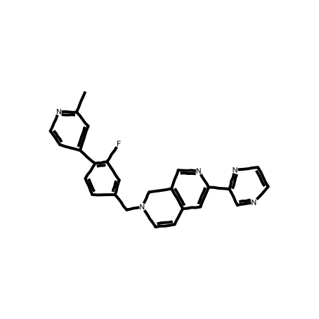 Cc1cc(-c2ccc(CN3C=Cc4cc(-c5cnccn5)ncc4C3)cc2F)ccn1